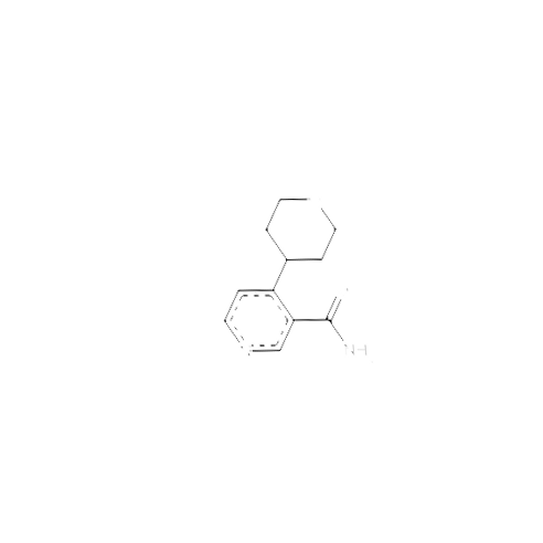 NC(=O)c1cnccc1C1CCOCC1